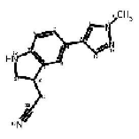 Cn1cc(-c2ccc3c(c2)C(CC#N)CN3)cn1